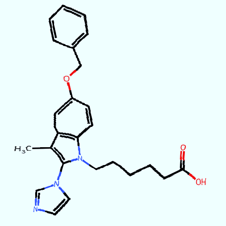 Cc1c(-n2ccnc2)n(CCCCCC(=O)O)c2ccc(OCc3ccccc3)cc12